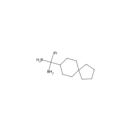 BC(B)(C(C)C)C1CCC2(CCCC2)CC1